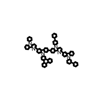 c1ccc(-c2ccc(-n3c4cc(-c5ccc6c7cc(-c8ccc9c(n8)c8ccccc8n9-c8ccccc8)ccc7n(-c7ccc8c9ccccc9c9ccccc9c8c7)c6c5)ccc4c4nc(-c5ccc6c(c5)c5ccccc5n6-c5cccc(-c6ccccc6)c5)ccc43)cc2)cc1